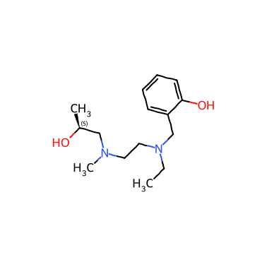 CCN(CCN(C)C[C@H](C)O)Cc1ccccc1O